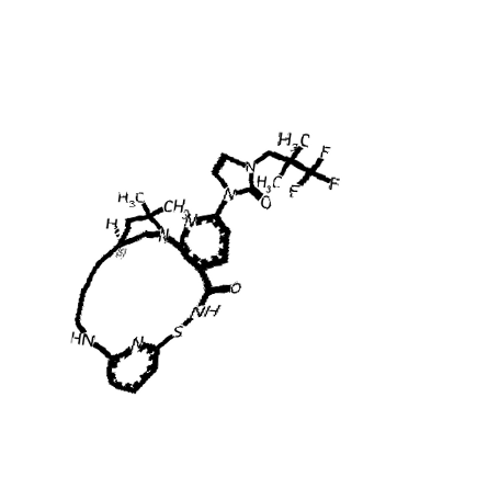 CC1(C)C[C@@H]2CCCNc3cccc(n3)SNC(=O)c3ccc(N4CCN(CC(C)(C)C(F)(F)F)C4=O)nc3N1C2